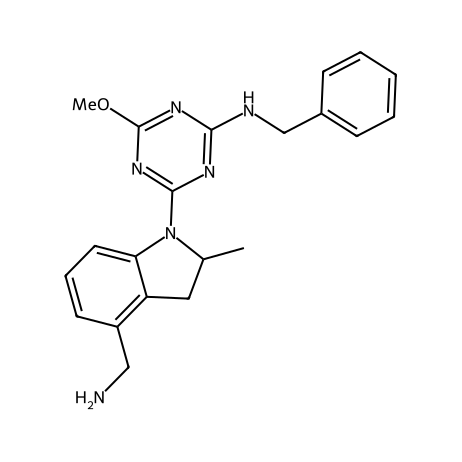 COc1nc(NCc2ccccc2)nc(N2c3cccc(CN)c3CC2C)n1